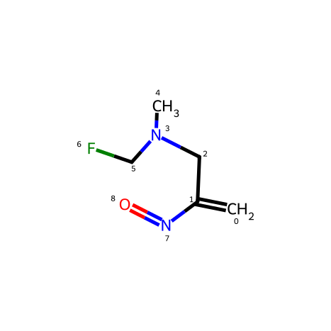 C=C(CN(C)CF)N=O